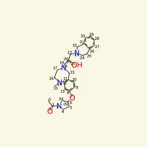 CC(=O)N1CC[C@H](Oc2ccc3c(c2)N(C)CCN(C[C@H](O)CN2CCc4ccccc4C2)C3)C1